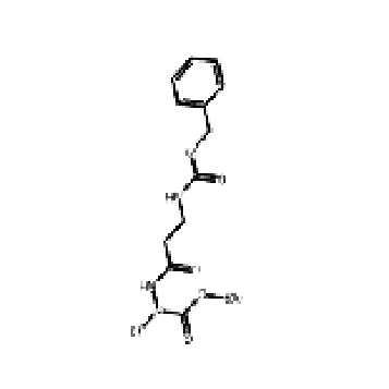 CCN(NC(=O)CCNC(=O)OCc1ccccc1)C(=O)OC(C)(C)C